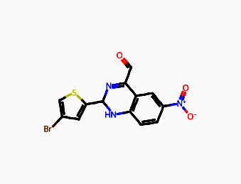 O=CC1=NC(c2cc(Br)cs2)Nc2ccc([N+](=O)[O-])cc21